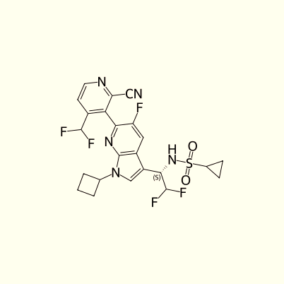 N#Cc1nccc(C(F)F)c1-c1nc2c(cc1F)c([C@H](NS(=O)(=O)C1CC1)C(F)F)cn2C1CCC1